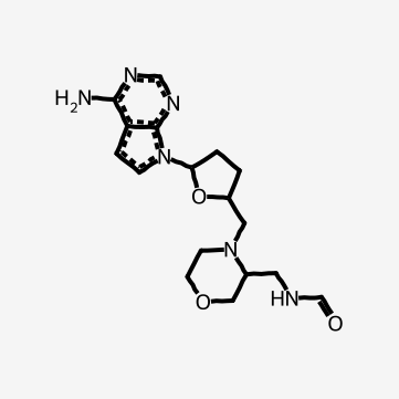 Nc1ncnc2c1ccn2C1CCC(CN2CCOCC2CNC=O)O1